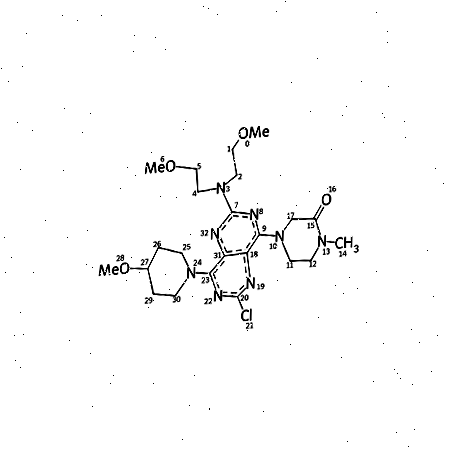 COCCN(CCOC)c1nc(N2CCN(C)C(=O)C2)c2nc(Cl)nc(N3CCC(OC)CC3)c2n1